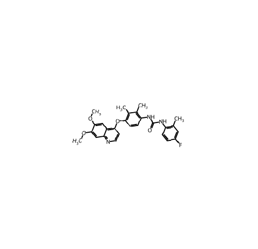 COc1cc2nccc(Oc3ccc(NC(=O)Nc4ccc(F)cc4C)c(C)c3C)c2cc1OC